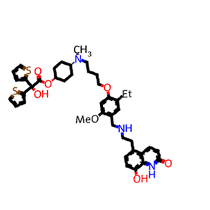 CCc1cc(CNCCc2ccc(O)c3[nH]c(=O)ccc23)c(OC)cc1OCCCCN(C)[C@H]1CC[C@H](OC(=O)C(O)(c2cccs2)c2cccs2)CC1